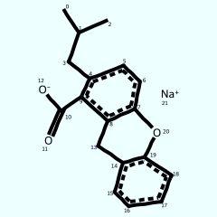 CC(C)Cc1ccc2c(c1C(=O)[O-])Cc1ccccc1O2.[Na+]